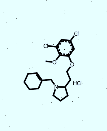 COc1c(Cl)cc(Cl)cc1OCCC1CCCN1CC1=CCCCC1.Cl